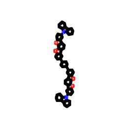 c1ccc2c(c1)c1ccccc1n2-c1ccc2oc3c(ccc4c5cc(-c6ccc(-c7ccc8oc9c(ccc%10c%11cc(-n%12c%13ccccc%13c%13ccccc%13%12)ccc%11oc%109)c8c7)cc6)ccc5oc43)c2c1